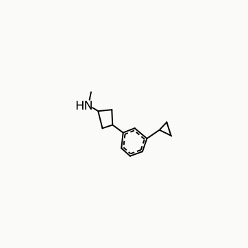 CNC1CC(c2cccc(C3CC3)c2)C1